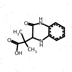 CC(C)(C(=O)O)C1Nc2ccccc2NC1=O